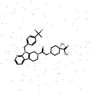 C[C@]1(C(=O)O)CC[C@@H](CC(=O)N2CCc3c(n(Cc4ccc(C(F)(F)F)cc4)c4ncccc34)C2)CC1